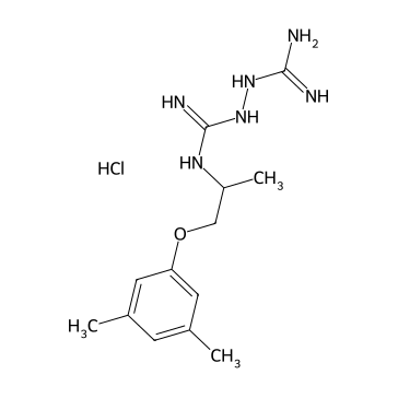 Cc1cc(C)cc(OCC(C)NC(=N)NNC(=N)N)c1.Cl